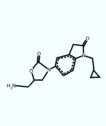 NCC1CN(c2ccc3c(c2)CC(=O)N3CC2CC2)C(=O)O1